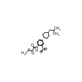 COC(=O)C(=O)Nc1ccc([C@H]2CC[C@H](CC(C)C)CC2)cc1[N+](=O)[O-]